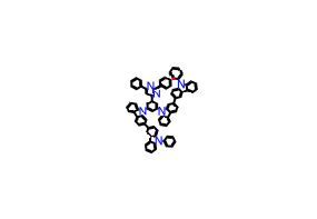 c1ccc(-c2cc(-c3cc(-n4c5ccccc5c5ccc(-c6ccc7c(c6)c6ccccc6n7-c6ccccc6)cc54)cc(-n4c5ccccc5c5ccc(-c6ccc7c(c6)c6ccccc6n7-c6ccccc6)cc54)c3)nc(-c3ccccc3)n2)cc1